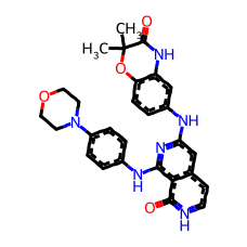 CC1(C)Oc2ccc(Nc3cc4cc[nH]c(=O)c4c(Nc4ccc(N5CCOCC5)cc4)n3)cc2NC1=O